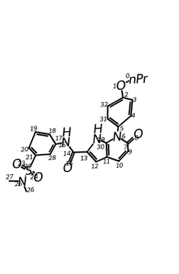 CCCOc1ccc(-n2c(=O)ccc3cc(C(=O)Nc4cccc(S(=O)(=O)N(C)C)c4)[nH]c32)cc1